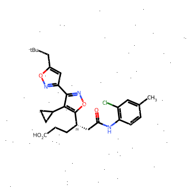 Cc1ccc(NC(=O)C[C@H](CCC(=O)O)c2onc(-c3cc(CC(C)(C)C)on3)c2C2CC2)c(Cl)c1